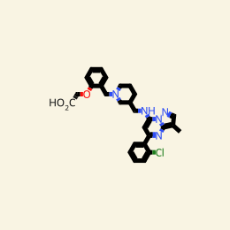 Cc1cnn2c(NCC3CCCN(Cc4ccccc4OCC(=O)O)C3)cc(-c3ccccc3Cl)nc12